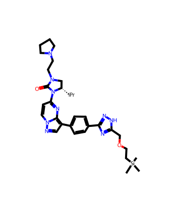 CC(C)[C@H]1CN(CCN2CCCC2)C(=O)N1c1ccn2ncc(-c3ccc(-c4n[nH]c(COCC[Si](C)(C)C)n4)cc3)c2n1